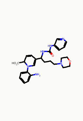 Nc1ccccc1N1C=C(C(CCCN2CCOCC2)NC(=O)Nc2cccnc2)C=CC1C(=O)O